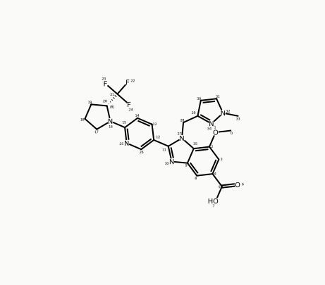 COc1cc(C(=O)O)cc2nc(-c3ccc(N4CCC[C@@H]4C(F)(F)F)nc3)n(Cc3ccn(C)n3)c12